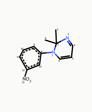 CC1(C)N=CC=CN1c1cccc([N+](=O)[O-])c1